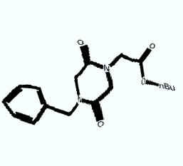 CCCCOC(=O)CN1CC(=O)N(Cc2ccccc2)CC1=O